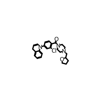 O=C(c1ccc(N2C=CCc3ccccc32)cc1Cl)N1CCN(CC2CCCO2)CC1